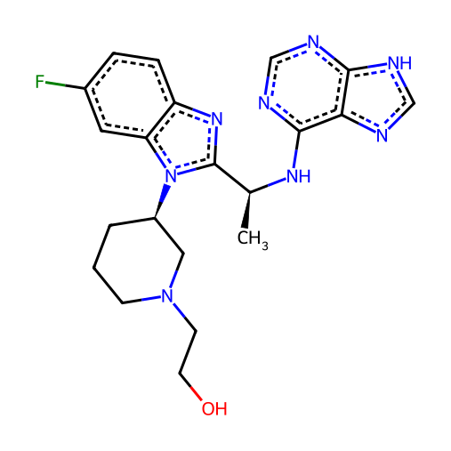 C[C@H](Nc1ncnc2[nH]cnc12)c1nc2ccc(F)cc2n1[C@@H]1CCCN(CCO)C1